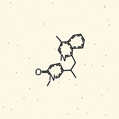 Cc1cnc(CC(C)c2ccc(=O)n(C)c2)c2ccccc12